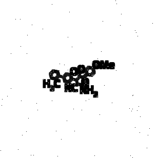 COc1ccc2c3c(c(=O)oc2c1)C(c1ccc(-c2ccccc2C)cc1)C(C#N)=C(N)O3